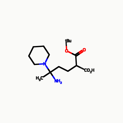 CC(C)(C)OC(=O)C(CCC(C)(N)N1CCCCC1)C(=O)O